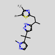 CC(C)c1sc(CC(C)c2cc(C(C)(C)c3ccnn3C)n[nH]2)nc1C(F)(F)F